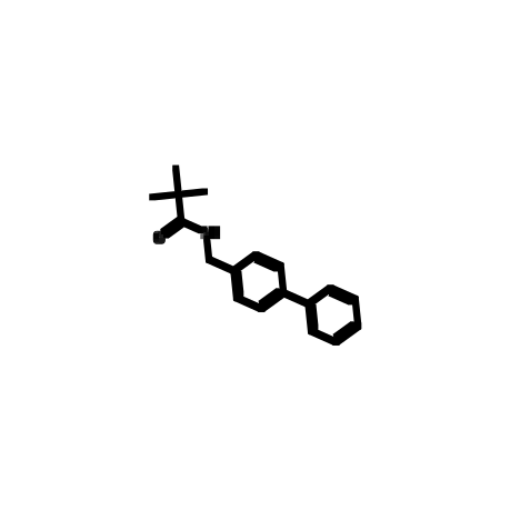 CC(C)(C)C(=O)NCc1ccc(-c2ccccc2)cc1